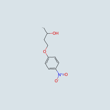 [CH2]C(O)CCOc1ccc([N+](=O)[O-])cc1